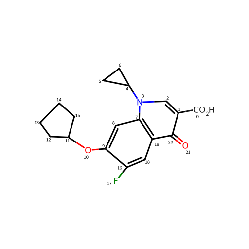 O=C(O)c1cn(C2CC2)c2cc(OC3CCCC3)c(F)cc2c1=O